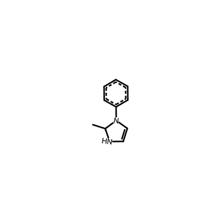 C[C]1NC=CN1c1ccccc1